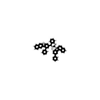 c1ccc(-c2ccc3c(c2)c2c4ccccc4ccc2n3C2=Nc3ccccc3C(c3cc(-c4ccccc4)c4c(c3)oc3cc5ccccc5cc34)N2)cc1